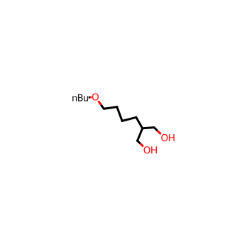 CCCCOCCCCC(CO)CO